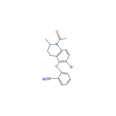 CC(=O)N1c2ccc(Br)c(Oc3ccccc3C#N)c2CCC1C